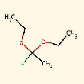 CCOC(C)(F)OCC